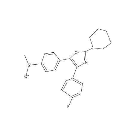 C[S+]([O-])c1ccc(-c2oc(C3CCCCC3)nc2-c2ccc(F)cc2)cc1